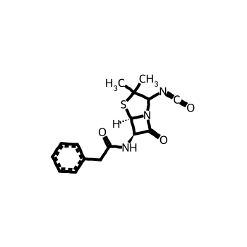 CC1(C)S[C@@H]2[C@H](NC(=O)Cc3ccccc3)C(=O)N2C1N=C=O